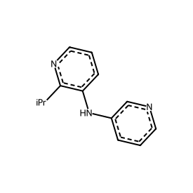 CC(C)c1ncccc1Nc1cccnc1